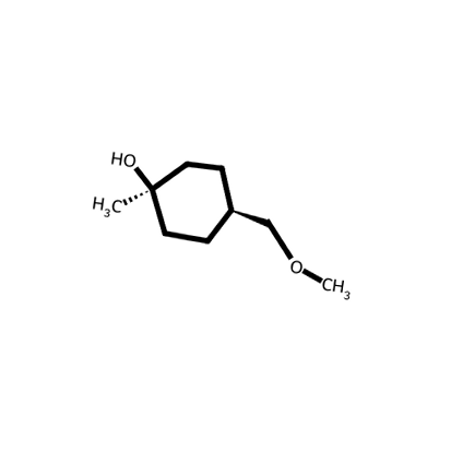 COC[C@H]1CC[C@@](C)(O)CC1